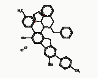 Cc1ccc(-c2cc3c(cc2C(C)(C)C)-c2cc(C(C)(C)C)c(-c4ccc(C)cc4)[c]([Zr+2](=[C](Cc4ccccc4)Cc4ccccc4)[CH]4C=CC=C4)c2C3)cc1.[Cl-].[Cl-]